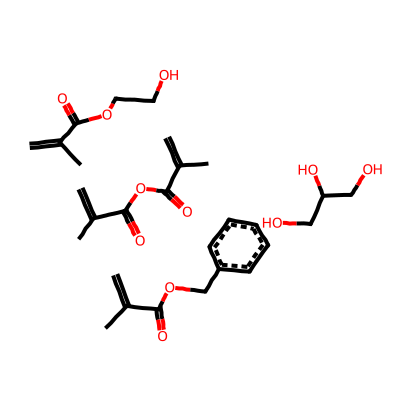 C=C(C)C(=O)OC(=O)C(=C)C.C=C(C)C(=O)OCCO.C=C(C)C(=O)OCc1ccccc1.OCC(O)CO